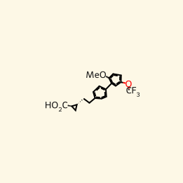 COc1ccc(OC(F)(F)F)cc1-c1ccc(CC[C@@H]2C[C@H]2C(=O)O)cc1